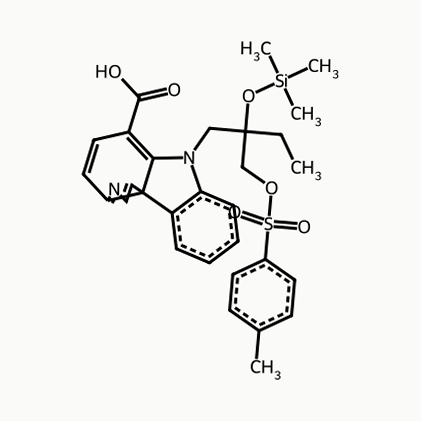 CCC(COS(=O)(=O)c1ccc(C)cc1)(CN1C2=C(C(=O)O)C=CC3=NC=CC32c2ccccc21)O[Si](C)(C)C